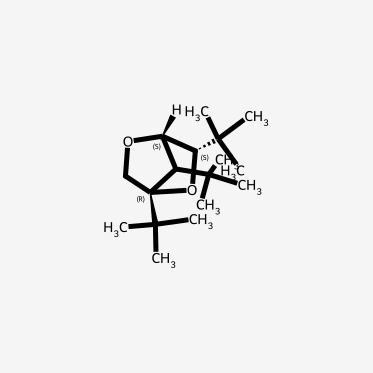 CC(C)(C)C1[C@@H]2OC[C@@]1(C(C)(C)C)O[C@H]2C(C)(C)C